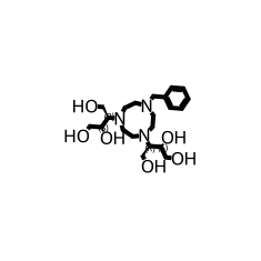 OC[C@@H](O)[C@@H](CO)N1CCN(Cc2ccccc2)CCN([C@H](CO)[C@H](O)CO)CC1